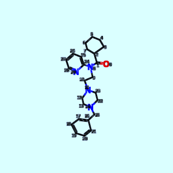 O=C(C1CCCCC1)N(CCN1CCN(Cc2ccccc2)CC1)c1ccccn1